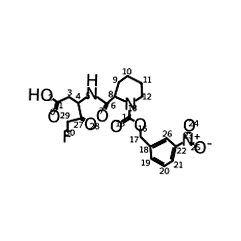 O=C(O)CC(NC(=O)C1CCCCN1C(=O)OCc1cccc([N+](=O)[O-])c1)C(=O)CF